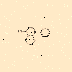 Cc1ccc(-c2ccc(N)c3ccccc23)cc1